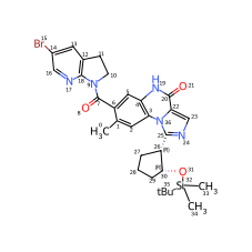 Cc1cc2c(cc1C(=O)N1CCc3cc(Br)cnc31)[nH]c(=O)c1cnc([C@H]3CCC[C@H]3O[Si](C)(C)C(C)(C)C)n12